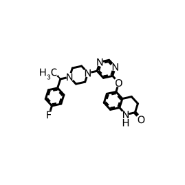 C[C@H](c1ccc(F)cc1)N1CCN(c2cc(Oc3cccc4c3CCC(=O)N4)ncn2)CC1